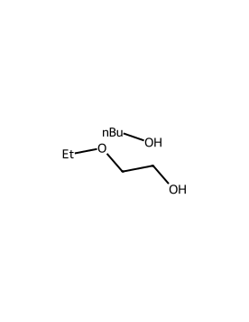 CCCCO.CCOCCO